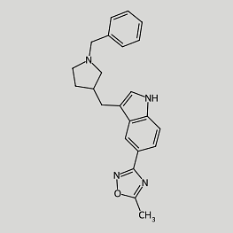 Cc1nc(-c2ccc3[nH]cc(CC4CCN(Cc5ccccc5)C4)c3c2)no1